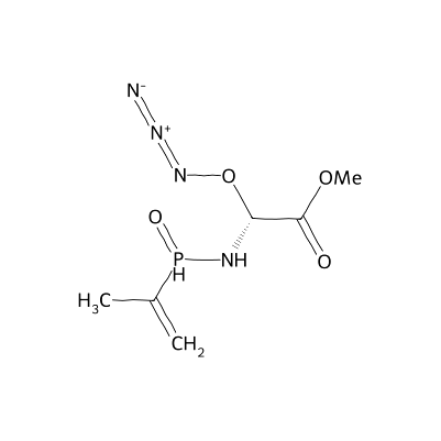 C=C(C)[PH](=O)N[C@H](ON=[N+]=[N-])C(=O)OC